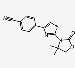 CC1(C)COC(=O)N1c1nc(-c2ccc(C#N)cc2)cs1